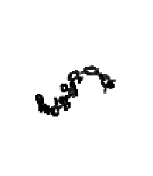 CC1CN(c2cccc(-c3cccc(NC(=O)CNC(=O)c4ccn(N=O)c4)c3F)c2)CC(C)O1